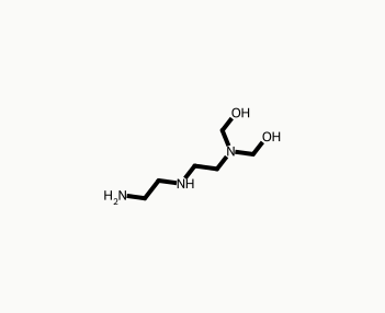 NCCNCCN(CO)CO